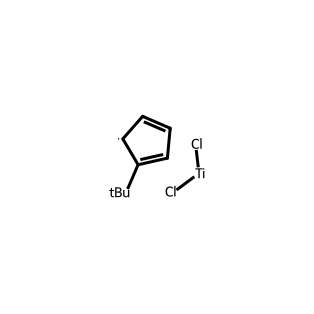 CC(C)(C)C1=CC=C[CH]1.[Cl][Ti][Cl]